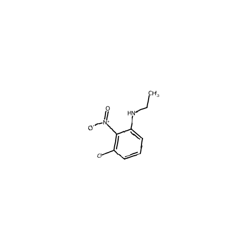 CCNc1cccc(Cl)c1[N+](=O)[O-]